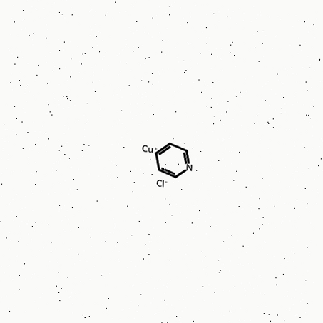 [Cl-].[Cu+].c1ccncc1